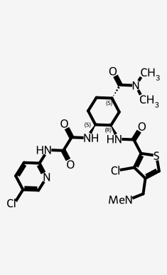 CNCc1csc(C(=O)N[C@@H]2C[C@@H](C(=O)N(C)C)CC[C@@H]2NC(=O)C(=O)Nc2ccc(Cl)cn2)c1Cl